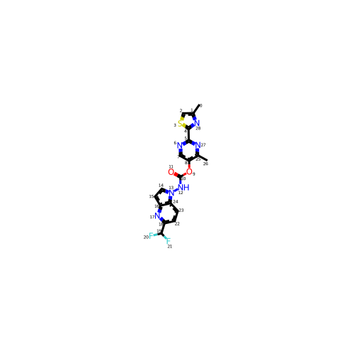 Cc1csc(-c2ncc(OC(=O)Nn3ccc4nc(C(F)F)ccc43)c(C)n2)n1